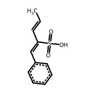 CC=CC(=Cc1ccccc1)S(=O)(=O)O